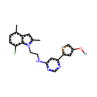 CCOc1csc(-c2cc(NCCn3c(C)cc4c(C)ccc(F)c43)ncn2)c1